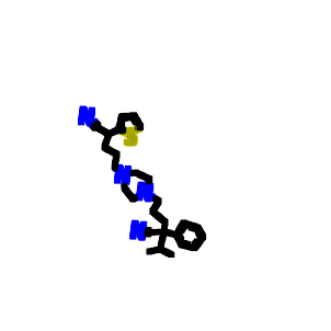 CC(C)C(C#N)(CCCN1CCN(CCCC(C#N)c2cccs2)CC1)c1ccccc1